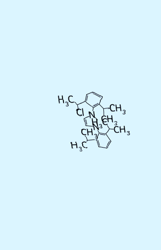 CC(C)c1cccc(C(C)C)c1N1C=CN(c2c(C(C)C)cccc2C(C)Cl)C1